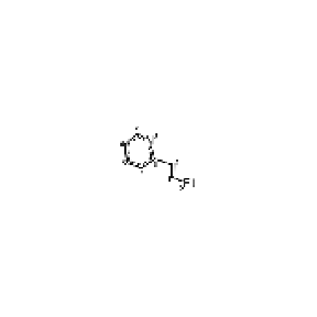 [CH2]C/C=C/c1ccccn1